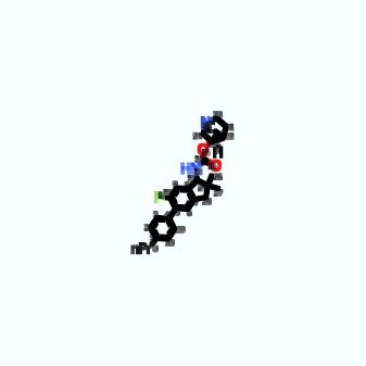 CCCc1ccc(-c2cc3c(cc2F)C(NC(=O)O[C@H]2CN4CCC2CC4)C(C)(C)C3)cc1